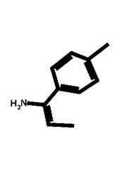 C/C=C(/N)c1ccc(C)cc1